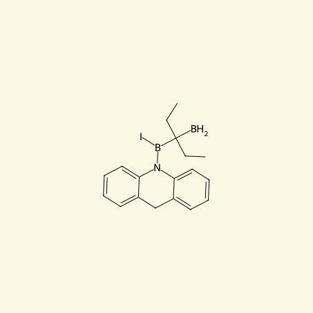 BC(CC)(CC)B(I)N1c2ccccc2Cc2ccccc21